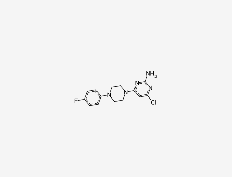 Nc1nc(Cl)cc(N2CCN(c3ccc(F)cc3)CC2)n1